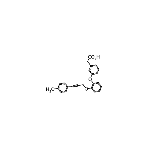 Cc1ccc(C#CCOc2ccccc2Oc2cccc(CC(=O)O)c2)cc1